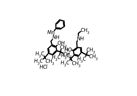 CC(C)(C)c1cc(C[NH][Mn][c]2ccccc2)c(O)c(C(C)(C)C)c1.CCNCc1cc(C(C)(C)C)cc(C(C)(C)C)c1O.Cl